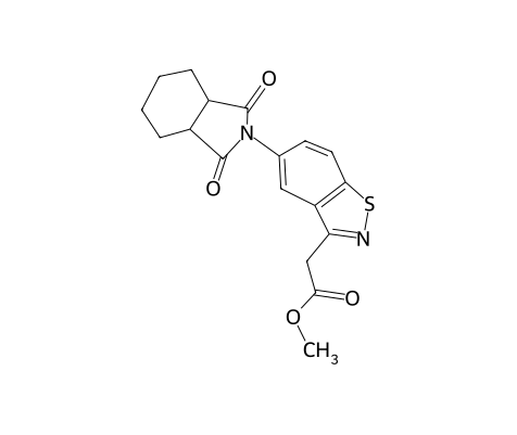 COC(=O)Cc1nsc2ccc(N3C(=O)C4CCCCC4C3=O)cc12